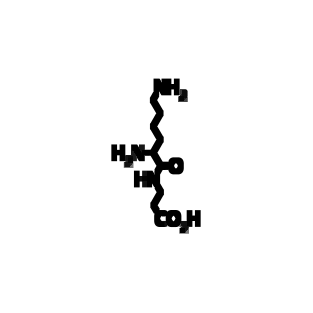 NCCCCC(N)C(=O)NCCC(=O)O